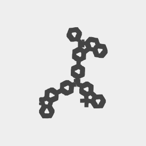 CC1(C)c2ccccc2-c2ccc(N(c3ccc(-c4ccc5sc6ccccc6c5c4)cc3)c3ccc(-c4ccc5c(c4)c4c6ccccc6ccc4n5-c4ccccc4)cc3)cc21